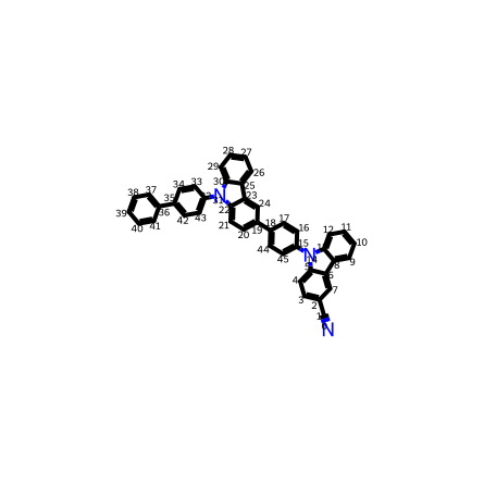 N#Cc1ccc2c(c1)c1ccccc1n2-c1ccc(-c2ccc3c(c2)c2ccccc2n3-c2ccc(-c3ccccc3)cc2)cc1